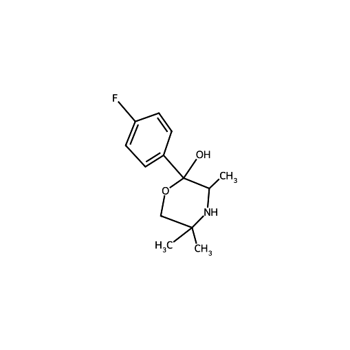 CC1NC(C)(C)COC1(O)c1ccc(F)cc1